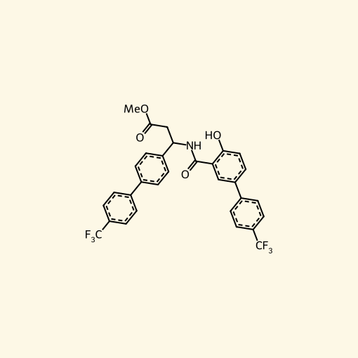 COC(=O)CC(NC(=O)c1cc(-c2ccc(C(F)(F)F)cc2)ccc1O)c1ccc(-c2ccc(C(F)(F)F)cc2)cc1